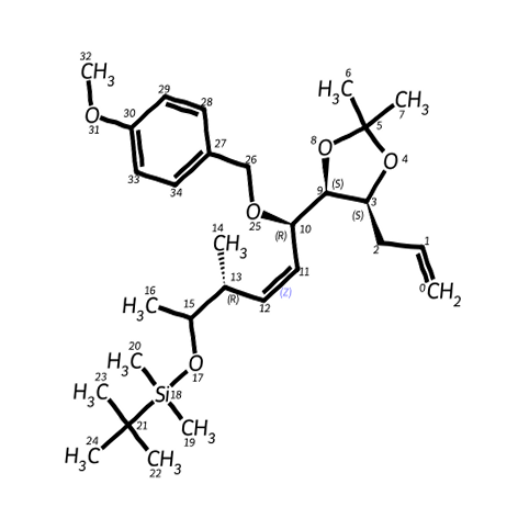 C=CC[C@@H]1OC(C)(C)O[C@@H]1[C@@H](/C=C\[C@@H](C)C(C)O[Si](C)(C)C(C)(C)C)OCc1ccc(OC)cc1